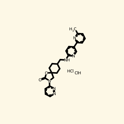 Cc1cccc(-c2ccc(NCC3CCC4(CC3)CN(c3cccnn3)C(=O)O4)nc2)n1.Cl.Cl